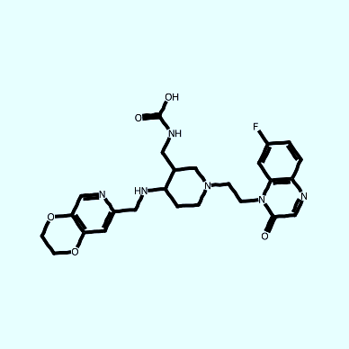 O=C(O)NCC1CN(CCn2c(=O)cnc3ccc(F)cc32)CCC1NCc1cc2c(cn1)OCCO2